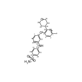 Cc1ccc(Oc2ccnc(Nc3ccc(S(N)(=O)=O)cc3)c2)c(C2CCOCC2)n1